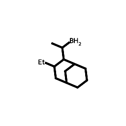 BC(C)C1C(CC)CC2CCCC1C2